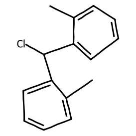 Cc1ccccc1C(Cl)c1ccccc1C